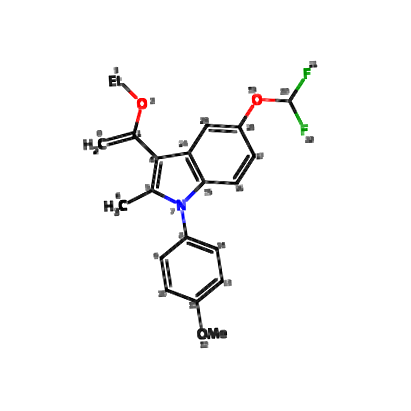 C=C(OCC)c1c(C)n(-c2ccc(OC)cc2)c2ccc(OC(F)F)cc12